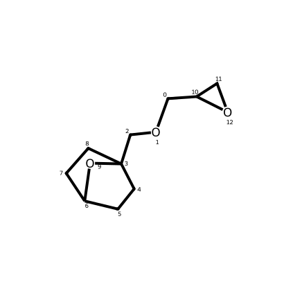 C(OCC12CCC(CC1)O2)C1CO1